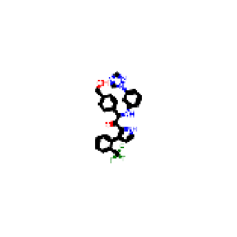 O=C(c1[nH]ccc1-c1ccccc1C(F)(F)F)C(Nc1cccc(-n2cncn2)c1)c1ccc(CO)cc1